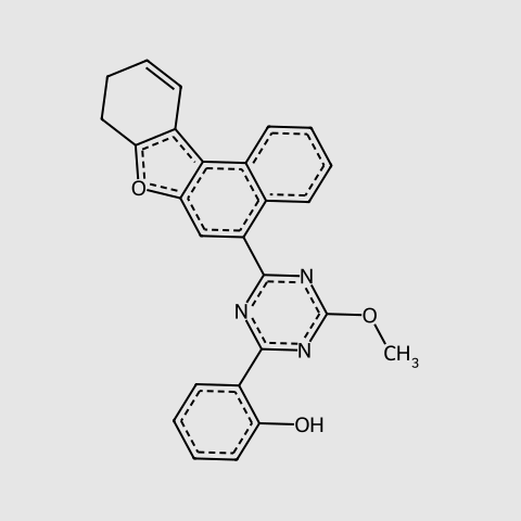 COc1nc(-c2ccccc2O)nc(-c2cc3oc4c(c3c3ccccc23)C=CCC4)n1